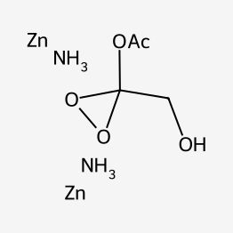 CC(=O)OC1(CO)OO1.N.N.[Zn].[Zn]